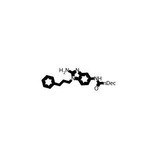 CCCCCCCCCCC(=O)Nc1ccc2c(c1)nc(N)n2CCCc1ccccc1